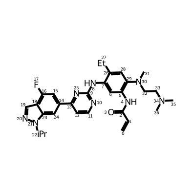 C=CC(=O)Nc1cc(Nc2nccc(-c3cc(F)c4cnn(C(C)C)c4c3)n2)c(CC)cc1N(C)CCN(C)C